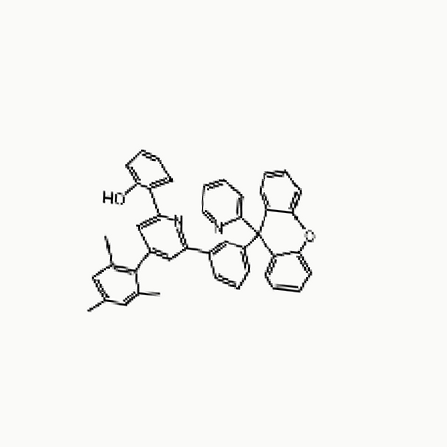 Cc1cc(C)c(-c2cc(-c3cccc(C4(c5ccccn5)c5ccccc5Oc5ccccc54)c3)nc(-c3ccccc3O)c2)c(C)c1